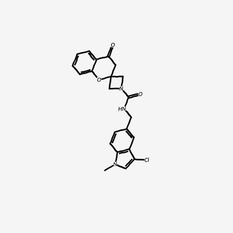 Cn1cc(Cl)c2cc(CNC(=O)N3CC4(CC(=O)c5ccccc5O4)C3)ccc21